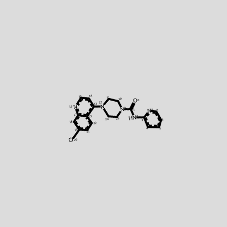 O=C(Nc1ccccn1)N1CCN(c2ccnc3cc(Cl)ccc23)CC1